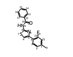 Cc1ccc(-c2csc(NC(=O)c3ccccc3)n2)c(F)c1